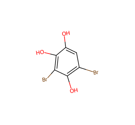 Oc1cc(Br)c(O)c(Br)c1O